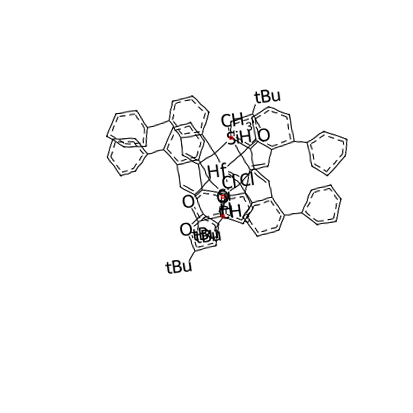 C[SiH]1[C]2(C(c3ccc(C(C)(C)C)o3)=Cc3c(-c4ccccc4)cccc32)[Hf]2([Cl])([Cl])([C]13C(c1ccc(C(C)(C)C)o1)=Cc1c(-c4ccccc4)cccc13)[C]1(C(c3ccc(C(C)(C)C)o3)=Cc3c(-c4ccccc4)cccc31)[SiH](C)[C]21C(c2ccc(C(C)(C)C)o2)=Cc2c(-c3ccccc3)cccc21